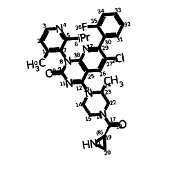 Cc1ccnc(C(C)C)c1-n1c(=O)nc(N2CCN(C(=O)[C@H]3CN3)CC2C)c2cc(Cl)c(-c3ccccc3F)nc21